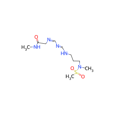 CNC(=O)C/N=C\N=C\NCCCN(C)S(C)(=O)=O